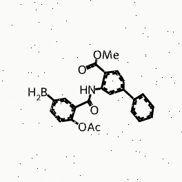 Bc1ccc(OC(C)=O)c(C(=O)Nc2cc(-c3ccccc3)ccc2C(=O)OC)c1